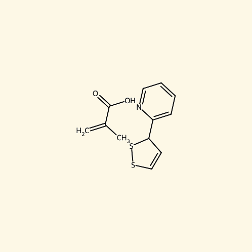 C1=CC(c2ccccn2)SS1.C=C(C)C(=O)O